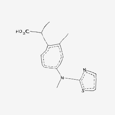 Cc1cc(N(C)c2nccs2)ccc1C(C)C(=O)O